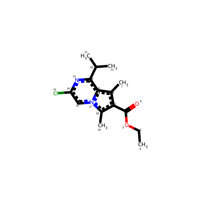 CCOC(=O)c1c(C)c2c(C(C)C)nc(Cl)cn2c1C